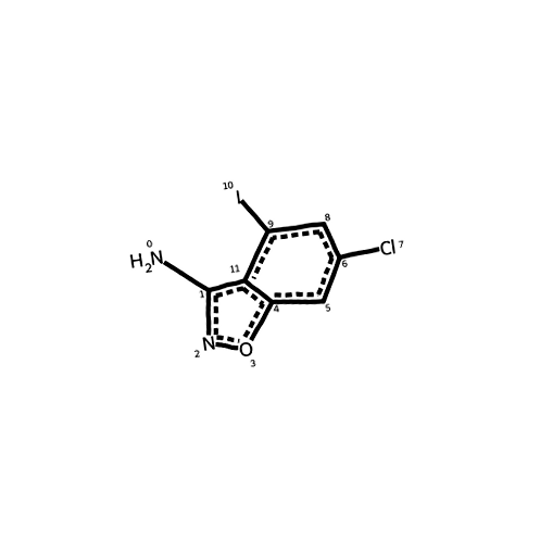 Nc1noc2cc(Cl)cc(I)c12